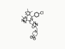 Cc1sc2c(c1C)C(c1ccc(Cl)cc1)=N[C@@H](Cc1nnc(CN3CCS(=O)(=O)CC3)o1)c1nnc(C)n1-2